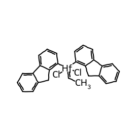 C[CH]=[Hf]([Cl])([Cl])([c]1cccc2c1Cc1ccccc1-2)[c]1cccc2c1Cc1ccccc1-2